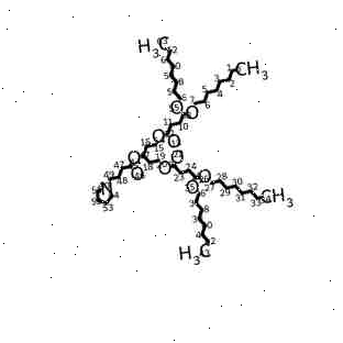 CCCCCCCCOC(CCC(=O)OCCC(CCOC(=O)CCC(OCCCCCCCC)OCCCCCCCC)OC(=O)CCCN1CCCC1)OCCCCCCCC